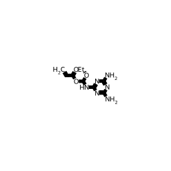 C=CC(=O)OC(Nc1nc(N)nc(N)n1)OCC